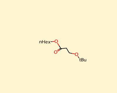 CCCCCCOC(=O)CCOC(C)(C)C